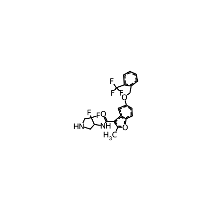 Cc1oc2ccc(OCc3ccccc3C(F)(F)F)cc2c1C(=O)NC1CNCC1(F)F